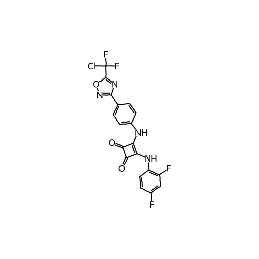 O=c1c(Nc2ccc(-c3noc(C(F)(F)Cl)n3)cc2)c(Nc2ccc(F)cc2F)c1=O